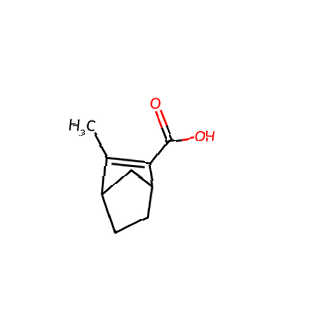 CC1=C(C(=O)O)C2CCC1C2